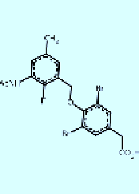 CC(=O)Nc1cc(C)cc(COc2c(Br)cc(CC(=O)O)cc2Br)c1F